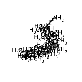 CC[C@H](NC(=O)C([C@H](OC(C)=O)[C@H](C)CCCCCCN)N(C)C(=O)CC(C)C)C(=O)N(C)CC(=O)N(C)[C@@H](CC(C)C)C(=O)N[C@H](C(=O)N(C)[C@@H](CC(C)C)C(=O)N[C@@H](C)C(=O)NC(=O)N(C)[C@@H](CC(C)C)C(=O)N(C)[C@@H](CC(C)C)C(=O)NC)C(C)C